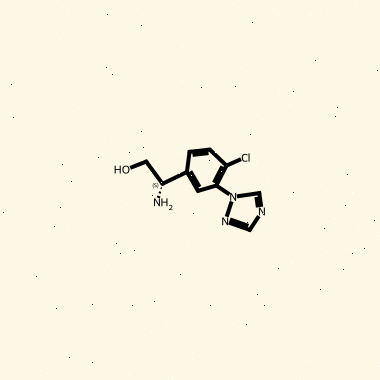 N[C@H](CO)c1ccc(Cl)c(-n2cncn2)c1